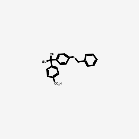 CC(C)(C)C(O)(c1ccc(OCc2ccccc2)cc1)c1ccc(C(=O)O)cc1